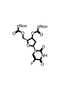 CCCCCCCCCC(=O)OC[C@@H]1O[C@H](n2cc(F)c(=O)[nH]c2=O)CC1OC(=O)CCCCCCCCC